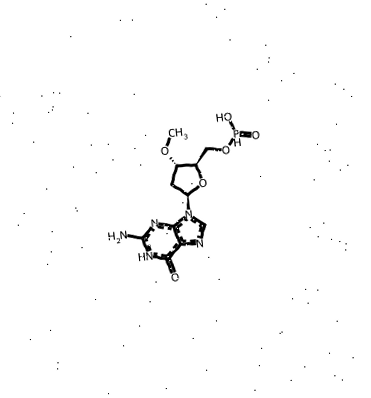 CO[C@H]1C[C@H](n2cnc3c(=O)[nH]c(N)nc32)O[C@@H]1CO[PH](=O)O